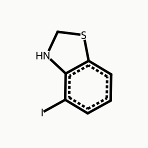 Ic1cccc2c1NCS2